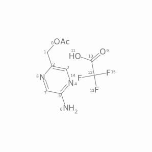 CC(=O)OCc1cnc(N)cn1.O=C(O)C(F)(F)F